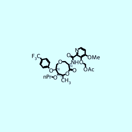 CCCO[C@H]1[C@H](C)OC(=O)[C@@H](NC(=O)c2nccc(OC)c2OCOC(C)=O)COC[C@@H]1Oc1ccc(C(F)(F)F)cc1